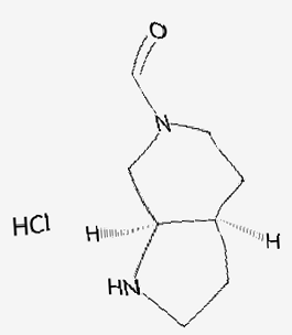 Cl.O=CN1CC[C@H]2CCN[C@H]2C1